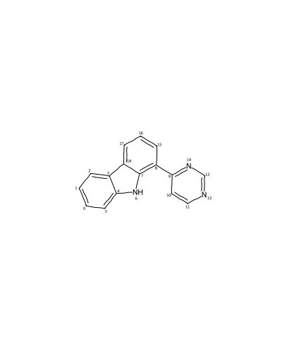 c1ccc2c(c1)[nH]c1c(-c3ccncn3)cccc12